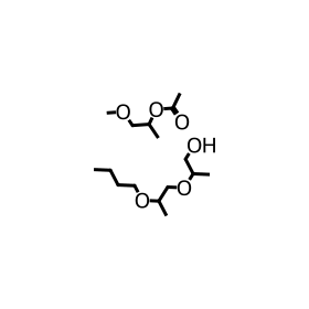 CCCCOC(C)COC(C)CO.COCC(C)OC(C)=O